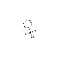 Cc1ccc[c]c1S(=O)(=O)O